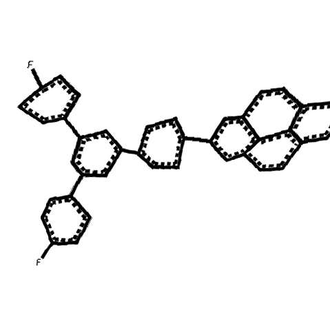 Fc1ccc(-c2cc(-c3ccc(F)cc3)cc(-c3ccc(-c4cc5ccc6cccc7ccc(c4)c5c67)cc3)c2)cc1